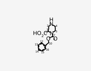 O=C(O)C1CNCCN1C(=O)OCc1ccccc1